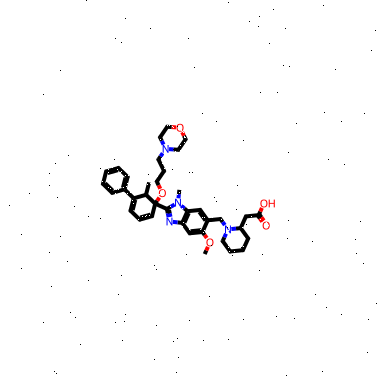 COc1cc2nc(C3(OCCCN4CCOCC4)C=CC=C(c4ccccc4)C3C)n(C)c2cc1CN1CCCCC1CC(=O)O